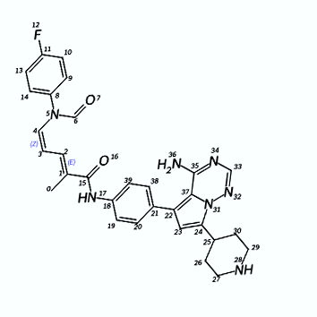 C/C(=C\C=C/N(C=O)c1ccc(F)cc1)C(=O)Nc1ccc(-c2cc(C3CCNCC3)n3ncnc(N)c23)cc1